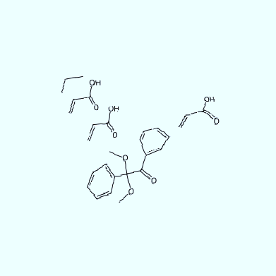 C=CC(=O)O.C=CC(=O)O.C=CC(=O)O.CCC.COC(OC)(C(=O)c1ccccc1)c1ccccc1